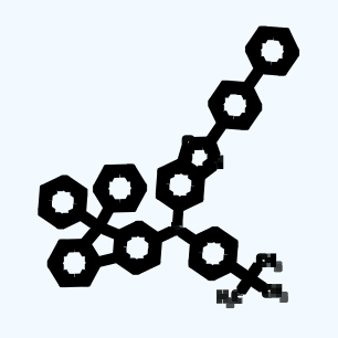 CC(C)(C)c1ccc(N(c2ccc3c(c2)C(c2ccccc2)(c2ccccc2)c2ccccc2-3)c2ccc3oc(-c4ccc(-c5ccccc5)cc4)nc3c2)cc1